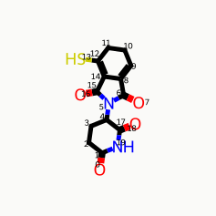 O=C1CCC(N2C(=O)C3=CCCC(S)=C3C2=O)C(=O)N1